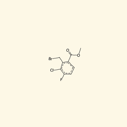 COC(=O)c1ccc(F)c(Cl)c1CBr